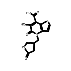 O=C1CC(Cn2c(=O)c(O)c(C(=O)O)c3sccc32)CN1